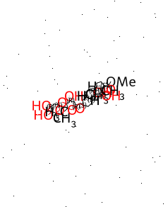 COC(=O)[C@H]1CC[C@]2(O)[C@@H]3CC[C@@H]4C[C@@H](O[C@H]5C[C@@H](O)C(O[C@H]6C[C@@H](O)C(O)C(C)O6)C(C)O5)CC[C@]4(C)[C@H]3C[C@@H](O)[C@]12C